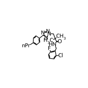 CCCc1ccc(-c2nnn(CC(C)(C)C(=O)NCc3c(F)cccc3Cl)n2)cc1